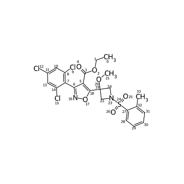 CCOC(=O)c1c(-c2c(Cl)cc(Cl)cc2Cl)noc1C1(OC)CN(S(=O)(=O)c2ccccc2C)C1